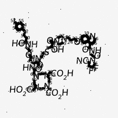 N#C[C@H]1CC(F)(F)CN1C(=O)CNC(=O)c1ccnc2ccc(OCCCN3CCN(C(=O)[C@H](O)CSCCNC(=O)[C@H](CCOCCNC(O)CCCc4ccc(I)cc4)NC(=O)CN4CCN(CC(=O)O)CCN(CC(=O)O)CCN(CC(=O)O)CC4)CC3)cc12